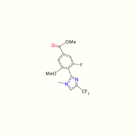 COC(=O)c1cc(F)c(-c2nc(C(F)(F)F)cn2C)c(OC)c1